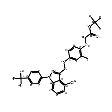 Cc1cc(SCc2nn(-c3ccc(C(F)(F)F)cc3)c3cccc(Cl)c23)ccc1OCC(=O)OC(C)(C)C